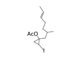 CC=CCCC(C)CC1(OC(C)=O)CC1I